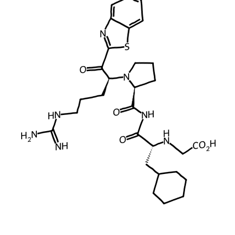 N=C(N)NCCC[C@@H](C(=O)c1nc2ccccc2s1)N1CCC[C@H]1C(=O)NC(=O)[C@@H](CC1CCCCC1)NCC(=O)O